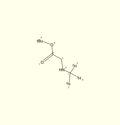 [2H]C([2H])([2H])NCC(=O)OC(C)(C)C